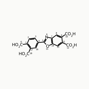 O=C(O)c1ccc(-c2nc3cc(C(=O)O)c(C(=O)O)cc3o2)cc1C(=O)O